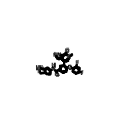 Cn1cc(-c2cc(C(=O)Nc3ccc4cn[nH]c4c3)ccc2Oc2ccc(F)cc2F)c2cc[nH]c2c1=O